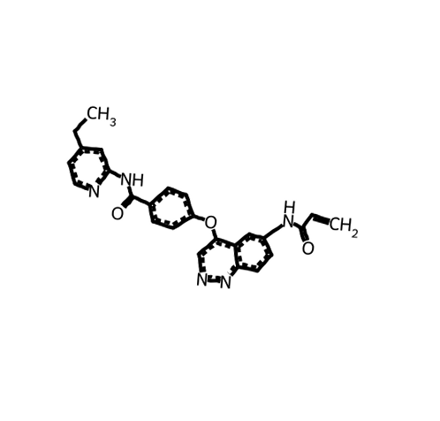 C=CC(=O)Nc1ccc2nncc(Oc3ccc(C(=O)Nc4cc(CC)ccn4)cc3)c2c1